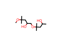 COC(C)(C)CC(O)COC(C)(C)CC(C)O